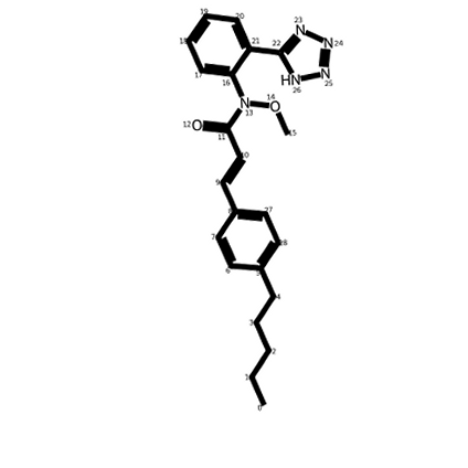 CCCCCc1ccc(/C=C/C(=O)N(OC)c2ccccc2-c2nnn[nH]2)cc1